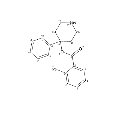 CC(C)c1ccccc1C(=O)OC1(c2ccccc2)CCNCC1